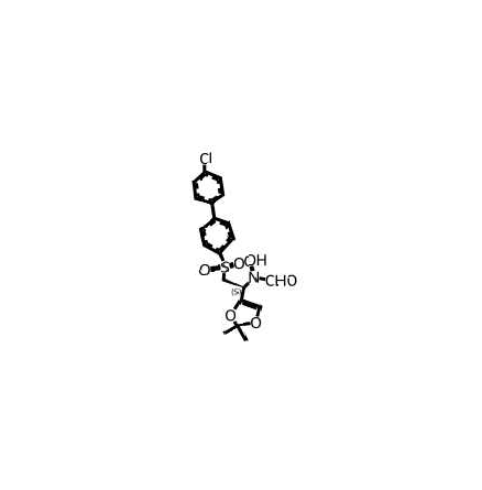 CC1(C)OC=C([C@@H](CS(=O)(=O)c2ccc(-c3ccc(Cl)cc3)cc2)N(O)C=O)O1